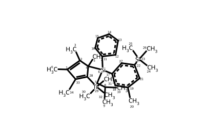 CC1=C(C)C(C)([Si](CC(C)C)(c2ccccc2)c2cc(C)cc([Si](C)(C)C)c2)[C]([Ti]([CH3])([CH3])[CH3])=C1C